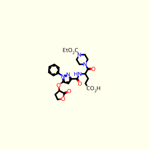 CCOC(=O)N1CCN(C(=O)C(CCC(=O)O)NC(=O)c2cc(OC3CCOC3=O)n(-c3ccccc3)n2)CC1